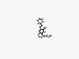 O=C(O)C1CCCc2cc(C=CC3CC=CCC3)c(Cl)cc21